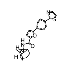 C[C@H]1[C@H](NC(=O)c2ccc(-c3ccc(-c4nccs4)cc3)o2)C2CCN1CC2